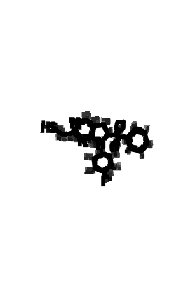 O=S(=O)(c1ccccc1)C1Cc2cnc(CS)nc2N1c1ccc(F)cc1